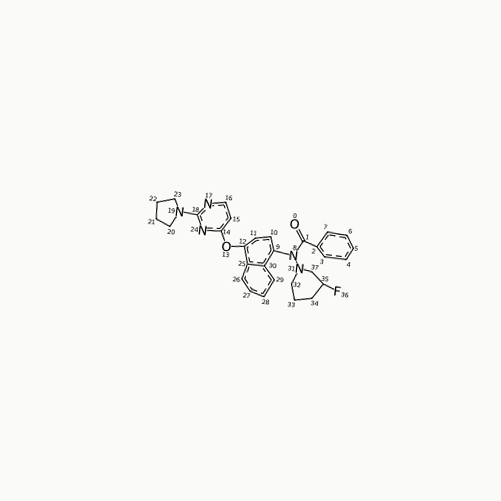 O=C(c1ccccc1)N(c1ccc(Oc2ccnc(N3CCCC3)n2)c2ccccc12)N1CCCC(F)C1